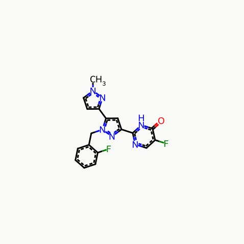 Cn1ccc(-c2cc(-c3ncc(F)c(=O)[nH]3)nn2Cc2ccccc2F)n1